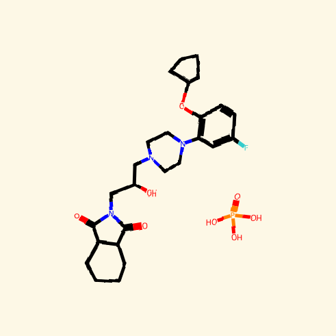 O=C1C2CCCCC2C(=O)N1CC(O)CN1CCN(c2cc(F)ccc2OC2CCCC2)CC1.O=P(O)(O)O